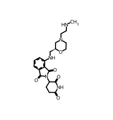 CNCCN1CCO[C@@H](CNc2cccc3c2C(=O)N(C2CCC(=O)NC2=O)C3=O)C1